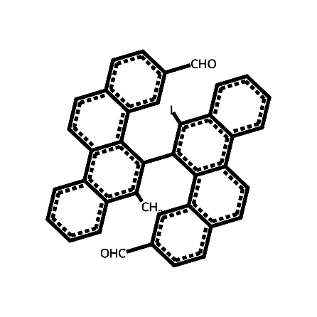 Cc1c(-c2c(I)c3ccccc3c3ccc4ccc(C=O)cc4c23)c2c3cc(C=O)ccc3ccc2c2ccccc12